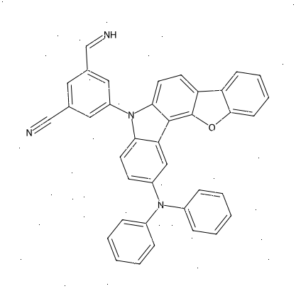 N#Cc1cc(C=N)cc(-n2c3ccc(N(c4ccccc4)c4ccccc4)cc3c3c4oc5ccccc5c4ccc32)c1